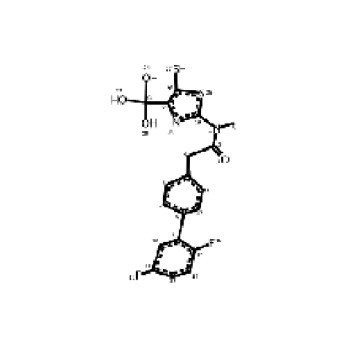 CN(C(=O)Cc1ccc(-c2cc(F)ccc2F)cc1)c1nc(C(O)(O)O)c(S)s1